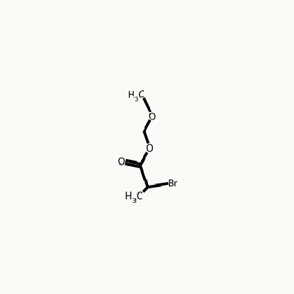 COCOC(=O)C(C)Br